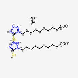 O=C([O-])CCCCCCCCCn1nnnc1S.O=C([O-])CCCCCCCCCn1nnnc1S.[Na+].[Na+]